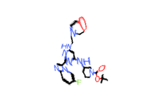 CC(C)(C)OC(=O)N1CCCC(Nc2cc(NCCN3CCOCC3)nc(-c3cnc4ccc(F)cn34)n2)C1